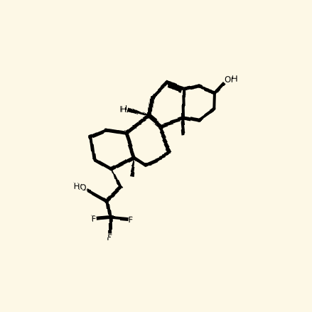 CC12CCC(O)CC1=CC[C@@H]1C2CC[C@@]2(C)C1CCC[C@@H]2CC(O)C(F)(F)F